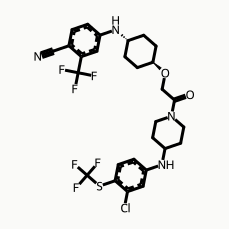 N#Cc1ccc(N[C@H]2CC[C@H](OCC(=O)N3CCC(Nc4ccc(SC(F)(F)F)c(Cl)c4)CC3)CC2)cc1C(F)(F)F